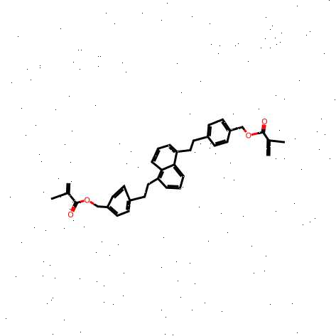 C=C(C)C(=O)OCc1ccc(CCc2cccc3c(CCc4ccc(COC(=O)C(=C)C)cc4)cccc23)cc1